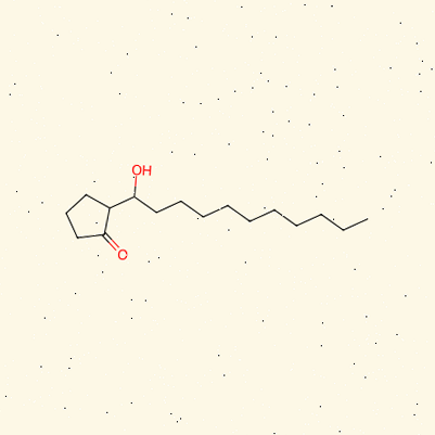 CCCCCCCCCCC(O)C1CCCC1=O